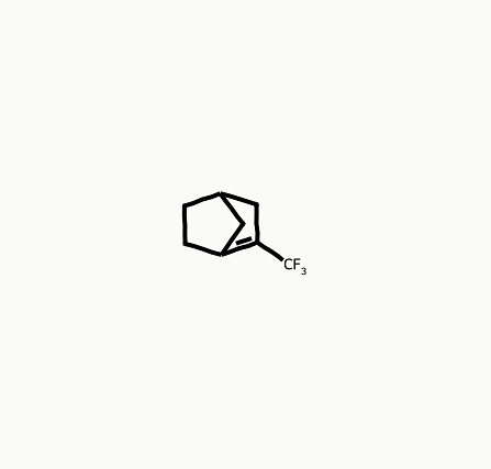 FC(F)(F)C1=C2CCC(C2)C1